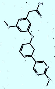 COc1cc(CC(=O)O)cc(OC2C=CC=C(c3cnc(OC)nc3)C2)c1